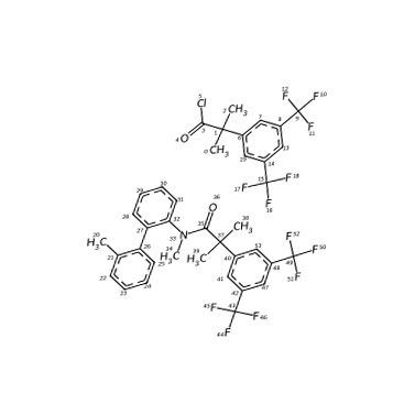 CC(C)(C(=O)Cl)c1cc(C(F)(F)F)cc(C(F)(F)F)c1.Cc1ccccc1-c1ccccc1N(C)C(=O)C(C)(C)c1cc(C(F)(F)F)cc(C(F)(F)F)c1